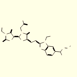 CCN1C(=O)/C(=c2/s/c(=C/C=C3\Oc4ccc(C(C)OOC)cc4N3CC)c(=O)n2CC(=O)O)SC1=S